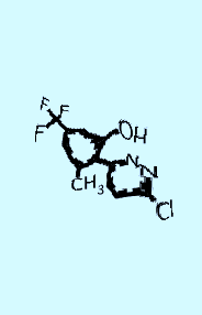 Cc1cc(C(F)(F)F)cc(O)c1-c1ccc(Cl)nn1